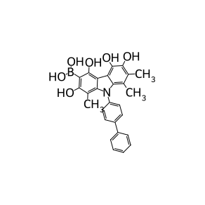 Cc1c(O)c(O)c2c3c(O)c(B(O)O)c(O)c(C)c3n(-c3ccc(-c4ccccc4)cc3)c2c1C